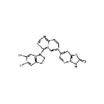 O=c1[nH]c2ncc(-c3ccc4ncnc(N5CCc6cc(F)c(Cl)cc65)c4c3)cc2o1